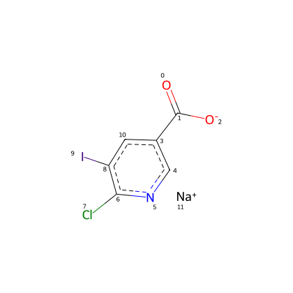 O=C([O-])c1cnc(Cl)c(I)c1.[Na+]